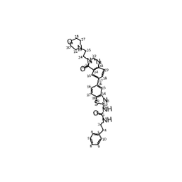 O=C(NCCc1ccccc1)Nc1nc2cc(-c3ccc4ncn(CCN5CCOCC5)c(=O)c4c3)ccc2s1